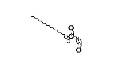 CCCCCCCCCCCCCCCCCCOc1cn(Cc2ccccc2)c(CN2CCN(Cc3ccccc3)CC2)cc1=O